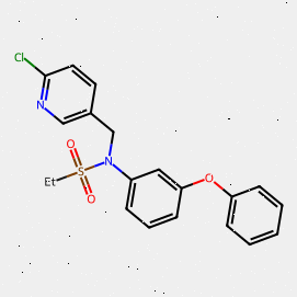 CCS(=O)(=O)N(Cc1ccc(Cl)nc1)c1cccc(Oc2ccccc2)c1